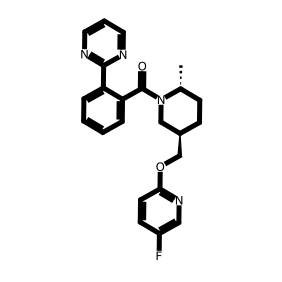 C[C@@H]1CC[C@@H](COc2ccc(F)cn2)CN1C(=O)c1ccccc1-c1ncccn1